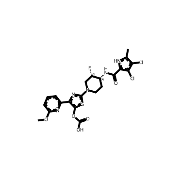 COc1cccc(-c2nc(N3CC[C@@H](NC(=O)c4[nH]c(C)c(Cl)c4Cl)[C@@H](F)C3)sc2OC(=O)O)n1